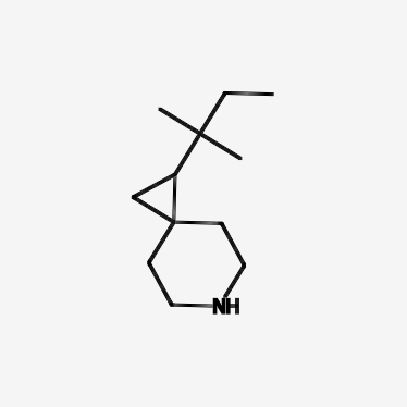 CCC(C)(C)C1CC12CCNCC2